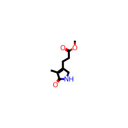 COC(=O)CCC1=C(C)C(=O)NC1